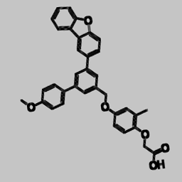 COc1ccc(-c2cc(COc3ccc(OCC(=O)O)c(C)c3)cc(-c3ccc4oc5ccccc5c4c3)c2)cc1